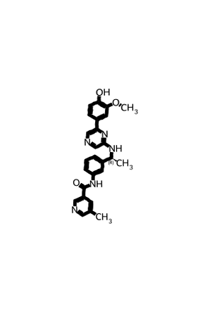 COc1cc(-c2cncc(N[C@H](C)c3cccc(NC(=O)c4cncc(C)c4)c3)n2)ccc1O